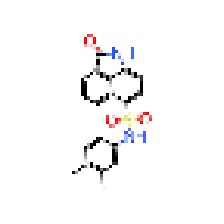 Cc1ccc(NS(=O)(=O)c2ccc3c4c(cccc24)C(=O)N3)cc1C